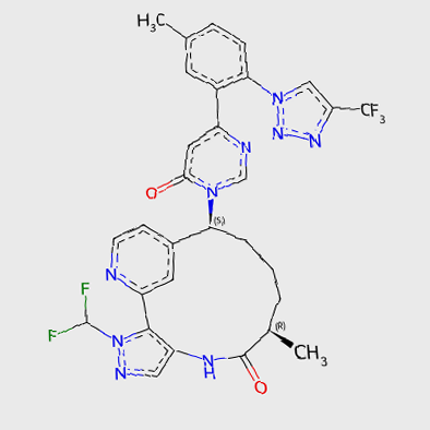 Cc1ccc(-n2cc(C(F)(F)F)nn2)c(-c2cc(=O)n([C@H]3CCC[C@@H](C)C(=O)Nc4cnn(C(F)F)c4-c4cc3ccn4)cn2)c1